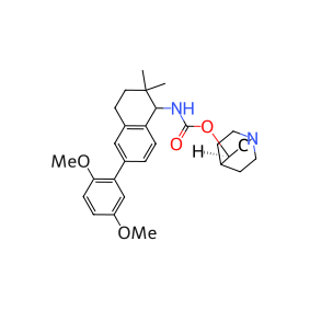 COc1ccc(OC)c(-c2ccc3c(c2)CCC(C)(C)C3NC(=O)O[C@H]2CN3CCC2CC3)c1